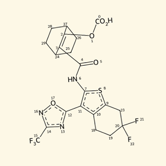 O=C(O)OC1=C(C(=O)Nc2sc3c(c2-c2nc(C(F)(F)F)no2)CCC(F)(F)C3)C2CCC1CC2